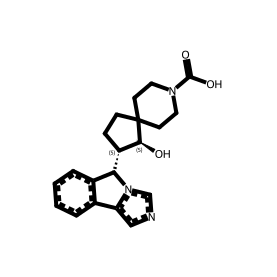 O=C(O)N1CCC2(CC[C@@H](C3c4ccccc4-c4cncn43)[C@@H]2O)CC1